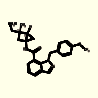 C[C@@]1(CC(=O)O)CC2(NC(=O)c3cccc4cnn(Cc5ccc(OC(F)(F)F)cc5)c34)C[C@H]21